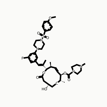 COc1ccc(S(=O)(=O)N2CCN(c3cc(F)cc(/C=C(\C)[C@H]4OC(=O)C[C@@H](O)CC[C@@H](C)[C@H](OC(=O)N5CCN(C)CC5)/C=C/[C@@H]4C)c3)CC2)cc1